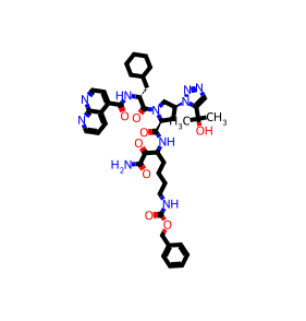 CC(C)(O)c1cnnn1[C@H]1C[C@@H](C(=O)NC(CCCCNC(=O)OCc2ccccc2)C(=O)C(N)=O)N(C(=O)[C@@H](CC2CCCCC2)NC(=O)c2ccnc3ncccc23)C1